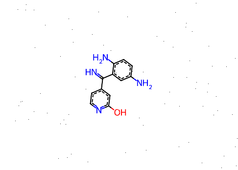 N=C(c1ccnc(O)c1)c1cc(N)ccc1N